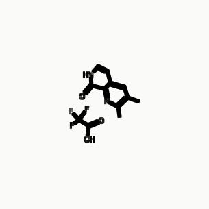 Cc1cc2cc[nH]c(=O)c2nc1C.O=C(O)C(F)(F)F